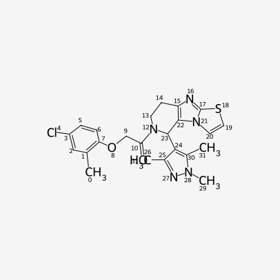 Cc1cc(Cl)ccc1OCC(=O)N1CCc2nc3sccn3c2C1c1c(C)nn(C)c1C